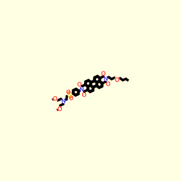 CCCCOCCCN1C(=O)c2ccc3c4ccc5c6c(ccc(c7ccc(c2c37)C1=O)c64)C(=O)N(c1ccc(S(=O)(=O)CCN(CCOC)CCOC)cc1)C5=O